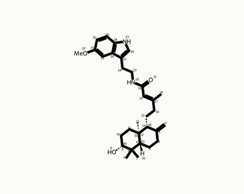 C=C1CC[C@@H]2C(C)(C)[C@H](O)CC[C@@]2(C)[C@@H]1CCC(C)=CC(=O)NCCc1c[nH]c2ccc(OC)cc12